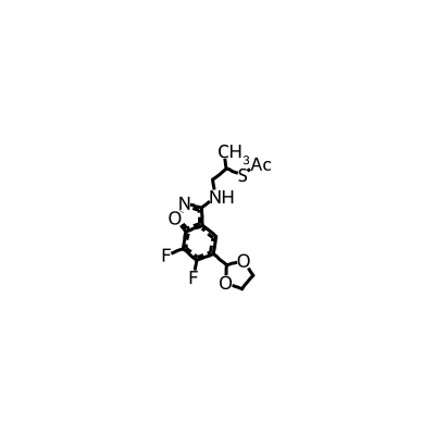 CC(=O)SC(C)CNc1noc2c(F)c(F)c(C3OCCO3)cc12